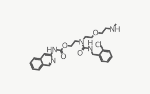 CNCCOCCN(CCOC(=O)Nc1cc2ccccc2cn1)C(=O)NCc1ccccc1Cl